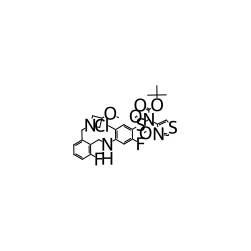 COC1CN(Cc2cccc(F)c2CNc2cc(F)c(S(=O)(=O)N(C(=O)OC(C)(C)C)c3cscn3)cc2Cl)C1